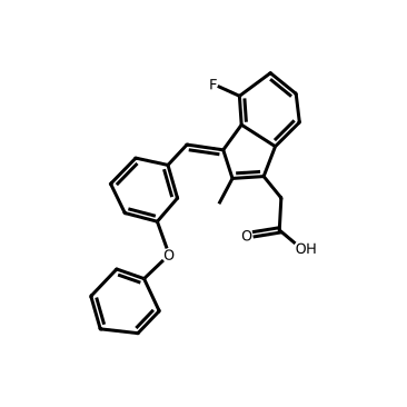 CC1=C(CC(=O)O)c2cccc(F)c2/C1=C/c1cccc(Oc2ccccc2)c1